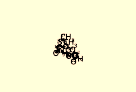 [2H]C1CC(=O)N(OC(=O)CN2C(=O)CC(SC(C)C)C2=O)C1=O